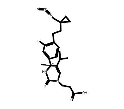 CC(C)C1=CN(CCC(=O)O)C(=O)N[C@]1(C)c1ccc(CCC2(CN=[N+]=[N-])CC2)c(Cl)c1